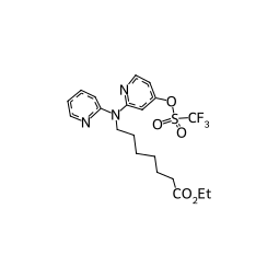 CCOC(=O)CCCCCCN(c1ccccn1)c1cc(OS(=O)(=O)C(F)(F)F)ccn1